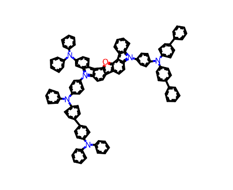 c1ccc(-c2ccc(N(c3ccc(-c4ccccc4)cc3)c3ccc(-n4c5ccccc5c5c6oc7c(ccc8c7c7ccc(N(c9ccccc9)c9ccccc9)cc7n8-c7ccc(N(c8ccccc8)c8ccc(-c9ccc(N(c%10ccccc%10)c%10ccccc%10)cc9)cc8)cc7)c6ccc54)cc3)cc2)cc1